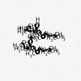 Cc1ccc2c(cnn2COCC[Si](C)(C)C)c1N1CCc2c(nc(O[C@@H](CN(C)C)CC(C)(C)C)nc2N2CCNCC2)C1.Cc1ccc2c(cnn2COCC[Si](C)(C)C)c1N1CCc2c(nc(O[C@H](C)CN(C)C)nc2N2CCN(C(=O)O)CC2)C1